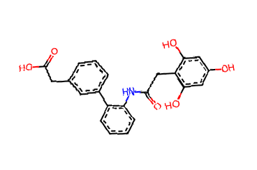 O=C(O)Cc1cccc(-c2ccccc2NC(=O)Cc2c(O)cc(O)cc2O)c1